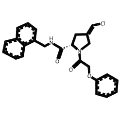 O=C(NCc1cccc2ccccc12)[C@@H]1CC(=CCl)CN1C(=O)COc1ccccc1